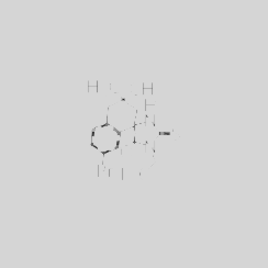 CC1(C)Cc2ccc(Br)cc2C2(C1)NC(=S)N(CC(F)(F)F)C2=O